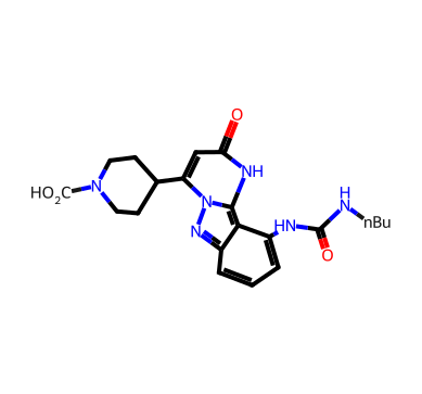 CCCCNC(=O)Nc1cccc2nn3c(C4CCN(C(=O)O)CC4)cc(=O)[nH]c3c12